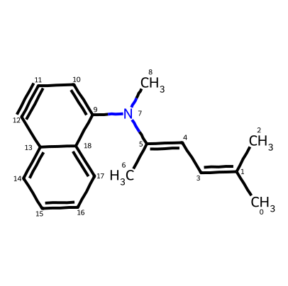 CC(C)=C/C=C(\C)N(C)c1cc#cc2ccccc12